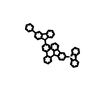 c1ccc(-c2ccc3c(c2)-c2ccccc2C3c2ccc(-c3ccccc3C3c4ccccc4-c4cc(-n5c6ccccc6c6ccccc65)ccc43)cc2)cc1